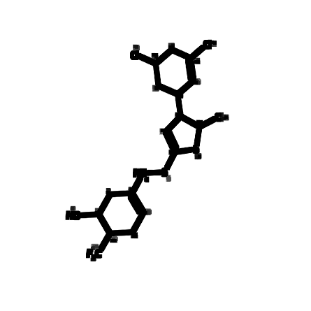 OC1CC(NSC2=CC(C3C=C(Cl)CC(Cl)C3)C(Cl)S2)=CCC1C(F)(F)F